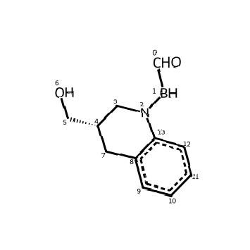 O=CBN1C[C@@H](CO)Cc2ccccc21